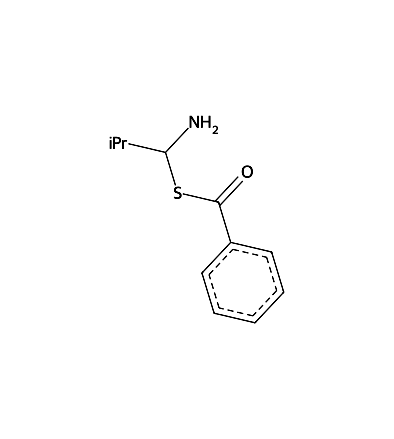 CC(C)C(N)SC(=O)c1ccccc1